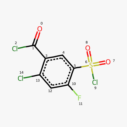 O=C(Cl)c1cc(S(=O)(=O)Cl)c(F)cc1Cl